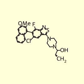 C=CC(O)N1CCN(c2snc3c(F)c(-c4c(OC)ccc5ccccc45)c(Cl)cc23)CC1